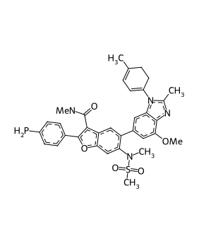 CNC(=O)c1c(-c2ccc(P)cc2)oc2cc(N(C)S(C)(=O)=O)c(-c3cc(OC)c4nc(C)n(C5=CC=C(C)CC5)c4c3)cc12